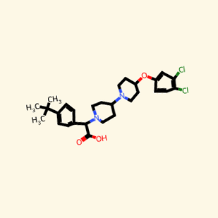 CC(C)(C)c1ccc(C(C(=O)O)N2CCC(N3CCC(Oc4ccc(Cl)c(Cl)c4)CC3)CC2)cc1